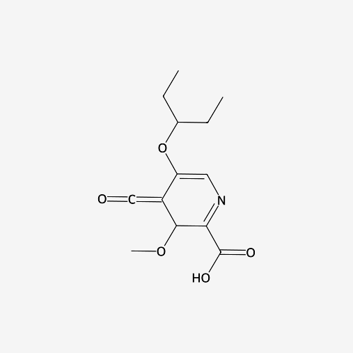 CCC(CC)OC1=CN=C(C(=O)O)C(OC)C1=C=O